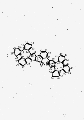 CNC(C)(C)c1c(-c2ccc3c(c2)-c2ccccc2-c2ccccc2-c2ccccc2-3)cccc1-c1ccc2c(c1)-c1ccccc1-c1ccccc1-c1ccccc1-2